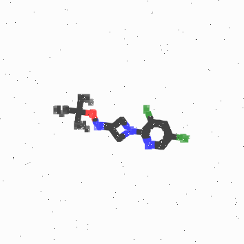 BC(B)(B)ON=C1CN(c2ncc(Br)cc2F)C1